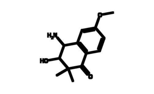 COc1ccc2c(c1)C(N)C(O)C(C)(C)C2=O